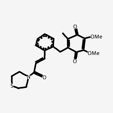 COC1=C(OC)C(=O)C(Cc2ccccc2C=CC(=O)N2CCSCC2)=C(C)C1=O